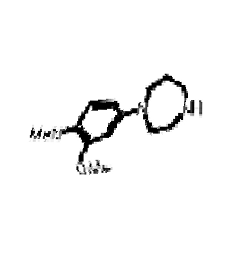 CNc1ccc(N2CCCNCC2)cc1OC